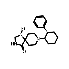 CCN1CNC(=O)C12CCN([C@@H]1CCCC[C@@H]1c1ccccc1)CC2